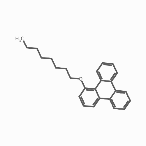 CCCCCCCCOc1cccc2c3ccccc3c3ccccc3c12